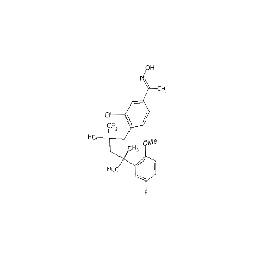 COc1ccc(F)cc1C(C)(C)CC(O)(Cc1ccc(C(C)=NO)cc1Cl)C(F)(F)F